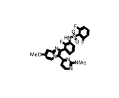 CNc1nccc(-c2c(-c3cccc(NS(=O)(=O)c4c(F)cccc4F)c3F)nc3cc(OC)ccn23)n1